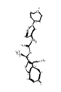 Cc1c([C@@H](C)NC(=O)Nc2cnn(C3CCOCC3)c2)oc2ccc(F)cc12